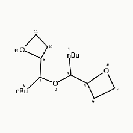 CCCCC(OC(CCCC)C1CCO1)C1CCO1